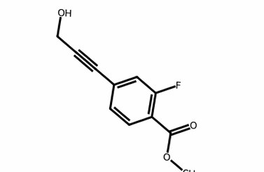 COC(=O)c1ccc(C#CCO)cc1F